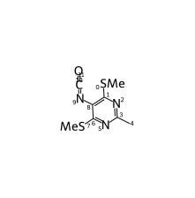 CSc1nc(C)nc(SC)c1N=C=O